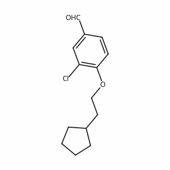 O=Cc1ccc(OCCC2CCCC2)c(Cl)c1